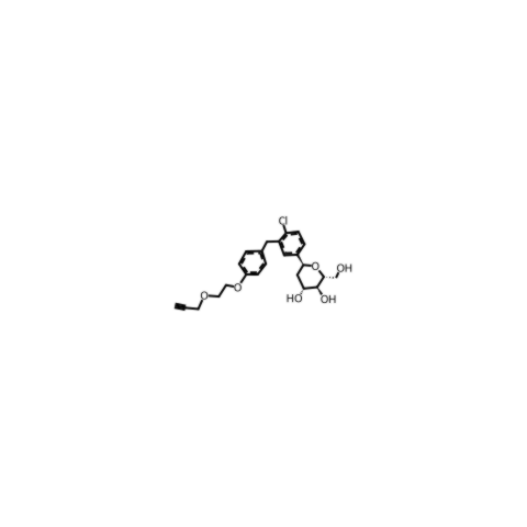 C#CCOCCOc1ccc(Cc2cc([C@@H]3C[C@@H](O)[C@H](O)[C@@H](CO)O3)ccc2Cl)cc1